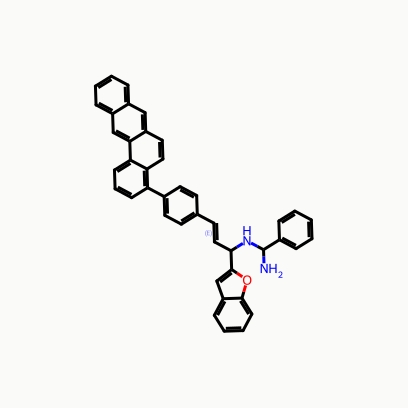 NC(NC(/C=C/c1ccc(-c2cccc3c2ccc2cc4ccccc4cc23)cc1)c1cc2ccccc2o1)c1ccccc1